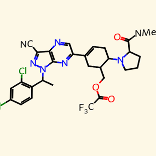 CNC(=O)C1CCCN1C1CC=C(c2cnc3c(C#N)nn(C(C)c4ccc(Cl)cc4Cl)c3n2)CC1COC(=O)C(F)(F)F